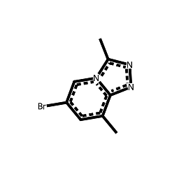 Cc1cc(Br)cn2c(C)nnc12